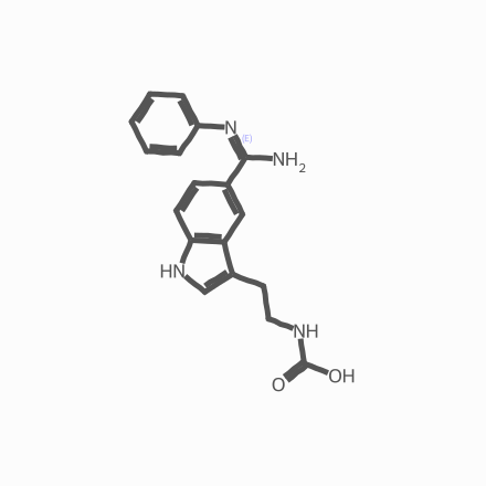 N/C(=N/c1ccccc1)c1ccc2[nH]cc(CCNC(=O)O)c2c1